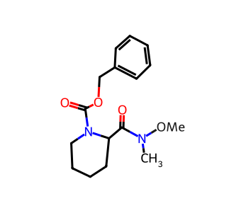 CON(C)C(=O)C1CCCCN1C(=O)OCc1ccccc1